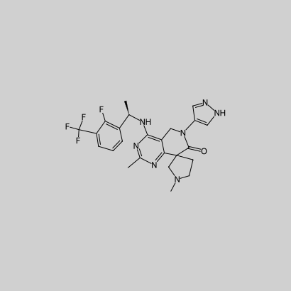 Cc1nc(N[C@H](C)c2cccc(C(F)(F)F)c2F)c2c(n1)C1(CCN(C)C1)C(=O)N(c1cn[nH]c1)C2